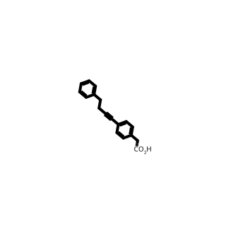 O=C(O)Cc1ccc(C#CCCc2ccccc2)cc1